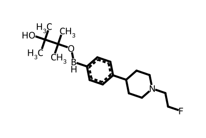 CC(C)(O)C(C)(C)OBc1ccc(C2CCN(CCF)CC2)cc1